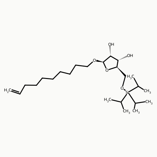 C=CCCCCCCCCO[C@@H]1O[C@H](CO[Si](C(C)C)(C(C)C)C(C)C)[C@@H](O)[C@H]1O